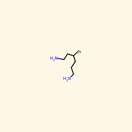 CC(C)C(CCN)CCCN